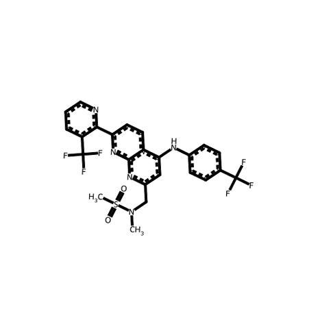 CN(Cc1cc(Nc2ccc(C(F)(F)F)cc2)c2ccc(-c3ncccc3C(F)(F)F)nc2n1)S(C)(=O)=O